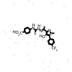 C/C(=N\NC(=S)Nc1ccc(C(=O)O)cc1)c1nn(C)c(-c2ccc(C(F)(F)F)cc2)c1O